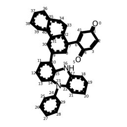 O=C1C=CC(=O)C(c2cc(-c3cccc4c3Nc3ccccc3N4c3ccccc3)cc3c2ccc2ccccc23)=C1